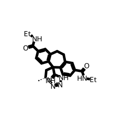 CCNC(=O)c1ccc2c(c1)CCc1cc(C(=O)NCC)ccc1C2(C[C@@H](C)N)c1nnn[nH]1